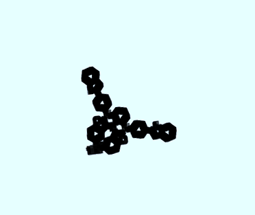 CC(C)(C)c1ccc2oc3c(c2c1)B1c2c(cccc2N(c2ccc(-c4cc5ccccc5s4)cc2)c2oc4ccc(C(C)(C)C)cc4c21)N3c1ccc(-c2cc3ccccc3s2)cc1